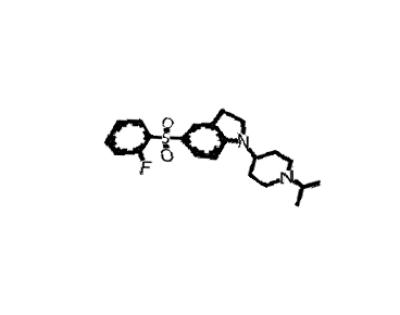 CC(C)N1CCC(N2CCc3cc(S(=O)(=O)c4ccccc4F)ccc32)CC1